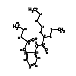 CCCCCC(CCC)C(=O)Oc1ccccc1OC(=O)CCC